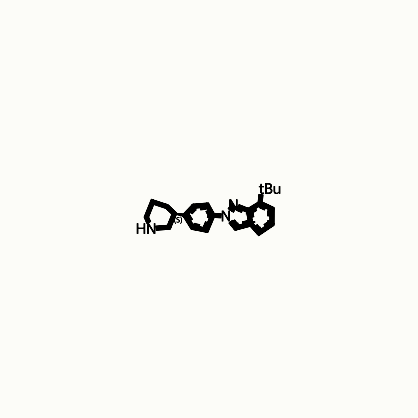 CC(C)(C)c1cccc2cn(-c3ccc([C@@H]4CCCNC4)cc3)nc12